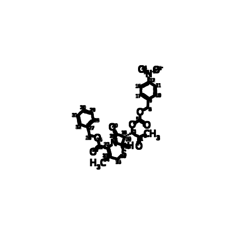 CC(=O)C(OC(=O)OCc1ccc([N+](=O)[O-])cc1)[C@H]1C(=O)N2C(C(=O)OCc3ccccc3)=C(C)CS[C@@H]12